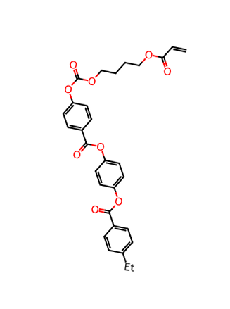 C=CC(=O)OCCCCOC(=O)Oc1ccc(C(=O)Oc2ccc(OC(=O)c3ccc(CC)cc3)cc2)cc1